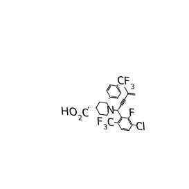 C=C(C)C#C[C@@H](c1c(C(F)(F)F)ccc(Cl)c1F)N1CC[C@H](CC(=O)O)C[C@@H]1c1ccc(C(F)(F)F)cc1